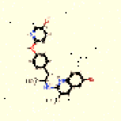 O=C(O)c1cc2cc(Br)ccc2nc1NC(Cc1ccc(Oc2ccc(Br)cn2)cc1)C(=O)O